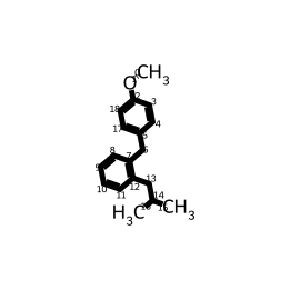 COc1ccc(Cc2[c]cccc2CC(C)C)cc1